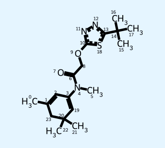 CC1=CC(N(C)C(=O)COc2nnc(C(C)(C)C)s2)=CC(C)(C)C1